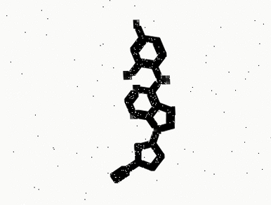 C#CC1CCC(n2cnc3c(Nc4ccc(F)cc4Br)ncnc32)O1